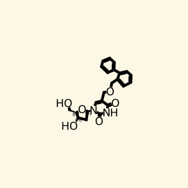 O=c1[nH]c(=O)n([C@H]2C[C@@H](O)[C@@H](CO)O2)cc1COCc1ccccc1-c1ccccc1